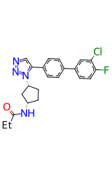 CCC(=O)N[C@H]1CC[C@@H](n2nncc2-c2ccc(-c3ccc(F)c(Cl)c3)cc2)C1